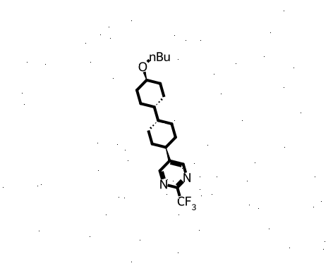 CCCCO[C@H]1CC[C@H]([C@H]2CC[C@H](c3cnc(C(F)(F)F)nc3)CC2)CC1